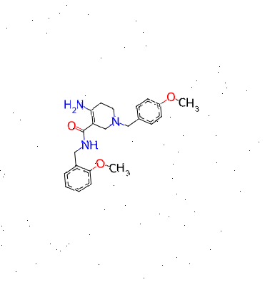 COc1ccc(CN2CCC(N)=C(C(=O)NCc3ccccc3OC)C2)cc1